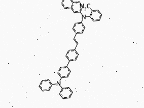 Cc1ccccc1N(c1ccc(/C=C/c2ccc(-c3ccc(N(c4ccccc4)c4ccccc4)cc3)cc2)cc1)c1ccc2ccccc2c1